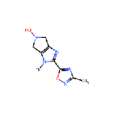 CCn1c(-c2nc(C)no2)nc2c1CN(O)C2